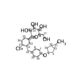 CC1C2CC(Oc3ccc(Cc4cc([C@@H]5O[C@H](CO)[C@@H](O)[C@H](O)[C@H]5O)ccc4Cl)cc3)CC12